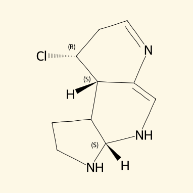 Cl[C@@H]1CC=NC2=CN[C@@H]3NCCC3[C@@H]21